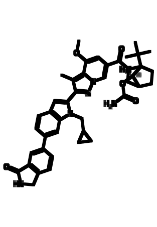 COc1cc(C(=O)N2CC3CCC2(C(C)(C)C)[C@@H]3OC(N)=O)cn2nc(-c3cc4ccc(-c5ccc6c(c5)C(=O)NC6)cc4n3CC3CC3)c(C)c12